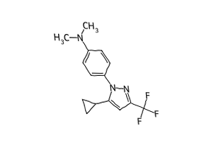 CN(C)c1ccc(-n2nc(C(F)(F)F)cc2C2CC2)cc1